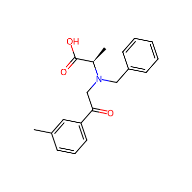 Cc1cccc(C(=O)CN(Cc2ccccc2)[C@H](C)C(=O)O)c1